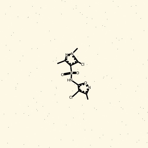 Cc1noc(NS(=O)(=O)c2c(C)nn(C)c2Cl)c1Cl